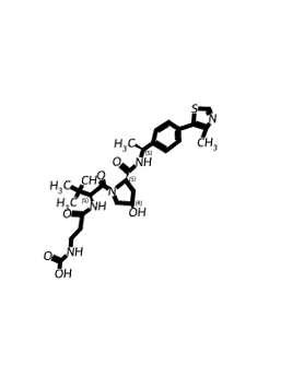 Cc1ncsc1-c1ccc([C@H](C)NC(=O)[C@@H]2C[C@@H](O)CN2C(=O)[C@@H](NC(=O)CCNC(=O)O)C(C)(C)C)cc1